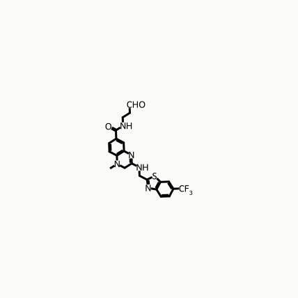 CN1CC(NCc2nc3ccc(C(F)(F)F)cc3s2)=Nc2cc(C(=O)NCCC=O)ccc21